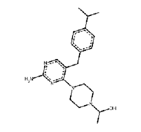 CC(C)c1ccc(Cc2cnc(N)nc2N2CCN(C(C)O)CC2)cc1